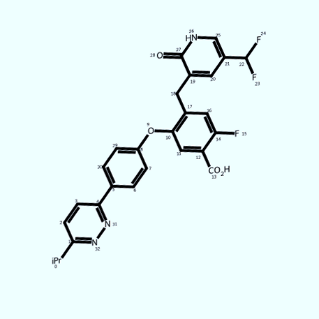 CC(C)c1ccc(-c2ccc(Oc3cc(C(=O)O)c(F)cc3Cc3cc(C(F)F)c[nH]c3=O)cc2)nn1